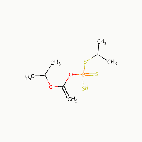 C=C(OC(C)C)OP(=S)(S)SC(C)C